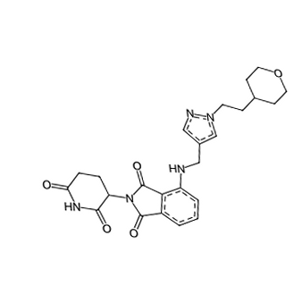 O=C1CCC(N2C(=O)c3cccc(NCc4cnn(CCC5CCOCC5)c4)c3C2=O)C(=O)N1